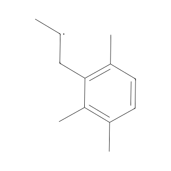 C[CH]Cc1c(C)ccc(C)c1C